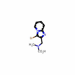 CN(Cc1nc2ccccn2c1Br)C(=O)O